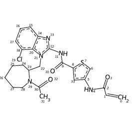 C=CC(=O)Nc1csc(C(=O)Nc2nc3cccc(Cl)c3n2CC2CCCCCN2C(C)=O)c1